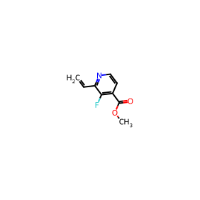 C=Cc1nccc(C(=O)OC)c1F